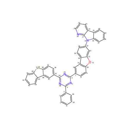 c1ccc(-c2nc(-c3ccc4oc5cc(-n6c7ccccc7c7cccnc76)ccc5c4c3)nc(-c3ccc4sc5ccccc5c4c3)n2)cc1